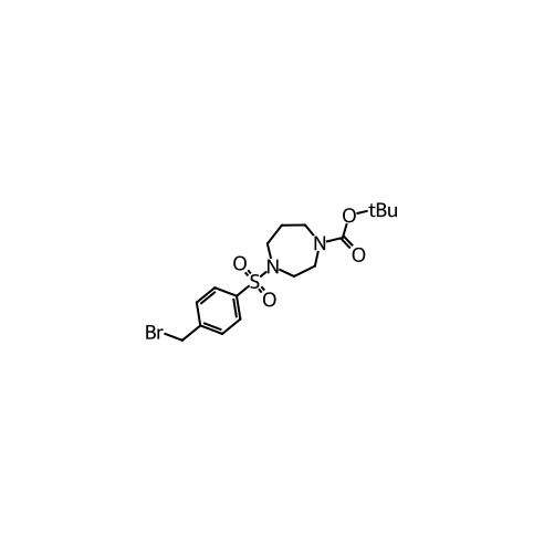 CC(C)(C)OC(=O)N1CCCN(S(=O)(=O)c2ccc(CBr)cc2)CC1